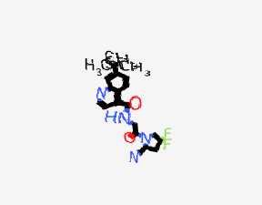 [CH3][Sn]([CH3])([CH3])[c]1ccc2c(C(=O)NCC(=O)N3CC(F)(F)CC3C#N)ccnc2c1